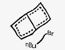 CCCCBr.c1cc2ccc1-2